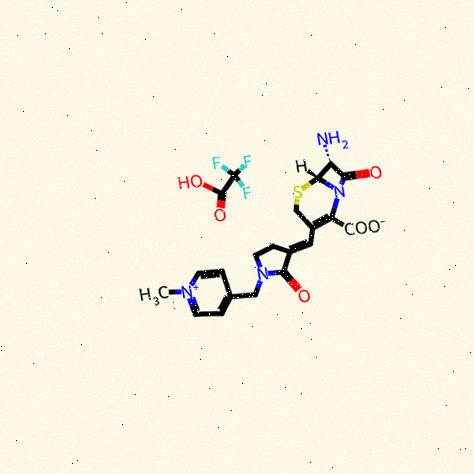 C[n+]1ccc(CN2CCC(=CC3=C(C(=O)[O-])N4C(=O)[C@@H](N)[C@H]4SC3)C2=O)cc1.O=C(O)C(F)(F)F